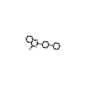 O=c1oc(-c2ccc(-c3ccccc3)cc2)nc2ccccc12